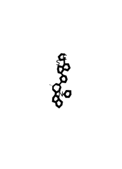 C[C@@H]1C=C(c2cccc(-c3ccc4c5c(cccc35)-c3ccccc3S4)c2)C=c2c(c3ccc4ccccc4c3n2-c2ccccc2)=C1